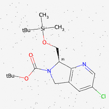 CC(C)(C)OC(=O)N1Cc2cc(Cl)cnc2[C@@H]1CO[Si](C)(C)C(C)(C)C